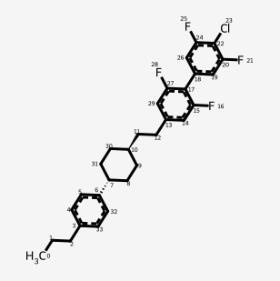 CCCc1ccc([C@H]2CC[C@H](CCc3cc(F)c(-c4cc(F)c(Cl)c(F)c4)c(F)c3)CC2)cc1